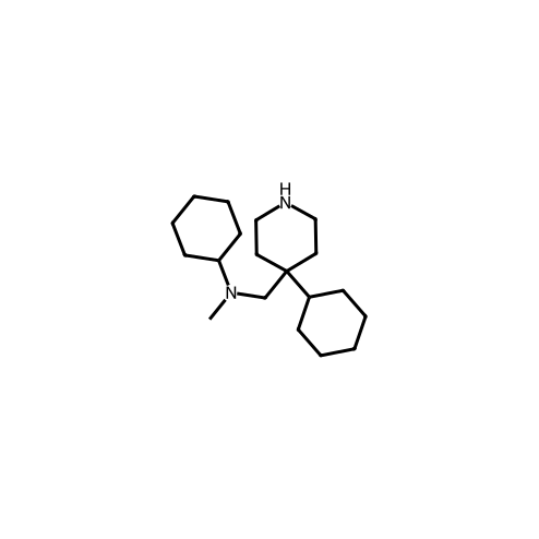 CN(CC1(C2CCCCC2)CCNCC1)C1CCCCC1